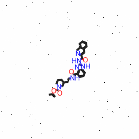 C=C(C)OC(=O)N1CCCC(CCNC(=O)c2cccc3[nH]c(NC(=O)c4cc5ccccc5cn4)nc23)C1